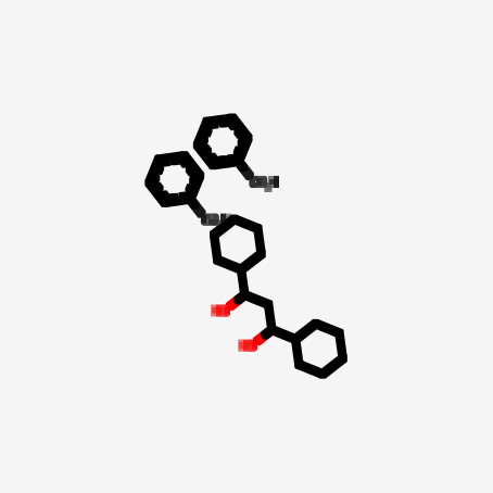 O=C(O)c1ccccc1.O=C(O)c1ccccc1.OC(CC(O)C1CCCCC1)C1CCCCC1